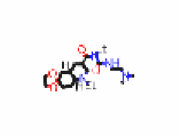 CCN(C(=O)NCCN(C)C)C(=O)[C@@H]1C[C@@H]2CC3(CC[C@H]2N(CC)C1)OCCO3